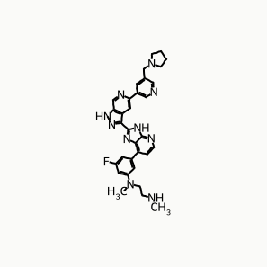 CNCCN(C)c1cc(F)cc(-c2ccnc3[nH]c(-c4n[nH]c5cnc(-c6cncc(CN7CCCC7)c6)cc45)nc23)c1